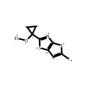 CCOC1(c2nc3sc(I)cc3s2)CC1